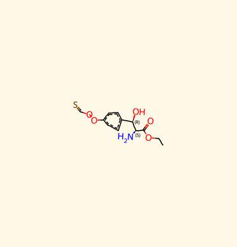 CCOC(=O)[C@@H](N)[C@H](O)c1ccc(OOC=S)cc1